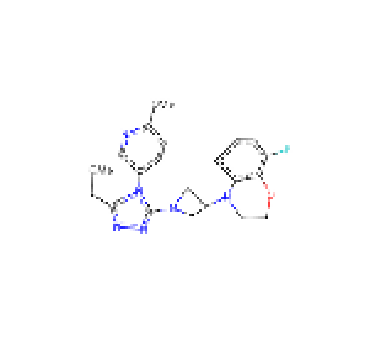 COCc1nnc(N2CC(N3CCOc4c(F)cccc43)C2)n1-c1ccc(OC)nc1